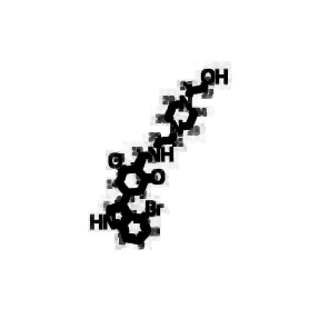 O=C1CC(c2c[nH]c3cccc(Br)c23)CC(=O)C1=CNCCN1CCN(CCO)CC1